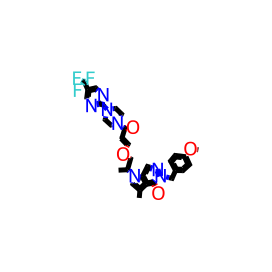 COc1ccc(Cn2ncc3c(c(C)cn3C(C)CO/C=C/C(=O)N3CCN(c4ncc(C(F)(F)F)cn4)CC3)c2=O)cc1